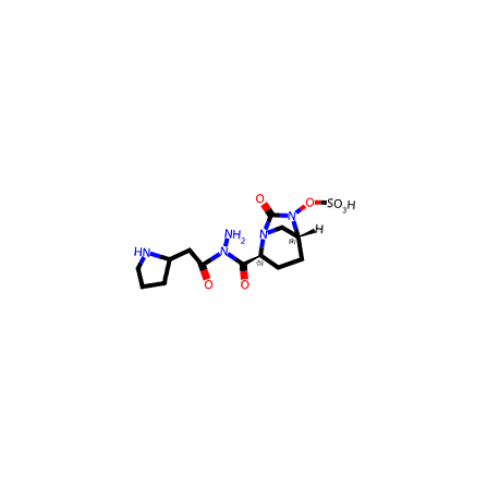 NN(C(=O)CC1CCCN1)C(=O)[C@@H]1CC[C@@H]2CN1C(=O)N2OS(=O)(=O)O